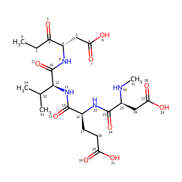 CCC(=O)[C@H](CC(=O)O)NC(=O)[C@@H](NC(=O)[C@H](CCC(=O)O)NC(=O)[C@H](CC(=O)O)NC)C(C)C